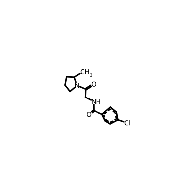 CC1CCCN1C(=O)CNC(=O)c1ccc(Cl)cc1